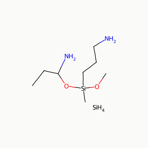 CCC(N)O[Si](C)(CCCN)OC.[SiH4]